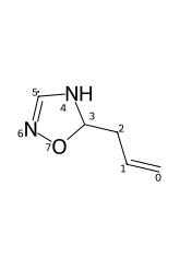 C=CCC1N[C]=NO1